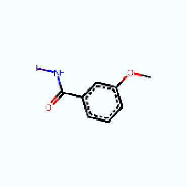 COc1cccc(C(=O)NI)c1